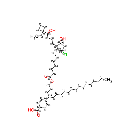 CCCCCCCCCCCCCCCC(CCCOC(=O)CCCC=CC[C@@H]1[C@@H](C=CC[C@H](O)C2(CC)CCC2)[C@H](O)C[C@H]1Cl)c1ccc(C(=O)O)cc1